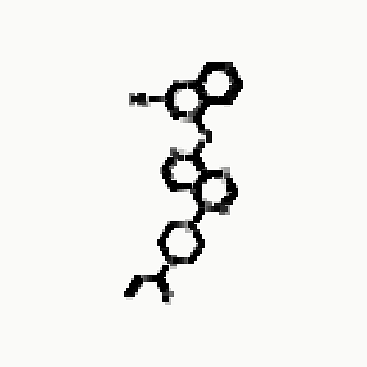 C=CC(=O)N1CCN(c2ncnc3c(Oc4cc(O)cc5ccccc45)nccc23)CC1